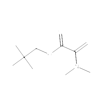 C=C(C(=O)OCC(C)(C)C)N(C)C